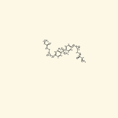 C=CC(=O)OCC1OC1Oc1ccc(C(C)(C)c2ccc(OC3OC3COC(=O)C=C)cc2)cc1